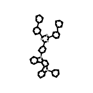 c1ccc(-c2cccc(-c3nc(-c4ccc(-n5c6ccccc6c6c7c8ccccc8n(-c8ccccc8)c7ccc65)cc4)nc(-c4cccc(-c5ccccc5)c4)n3)c2)cc1